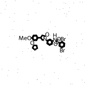 COc1ccc(C2CC(=O)N(c3cccc(NS(=O)(=O)c4cc(Br)ccc4Br)c3)C2)cc1OC1CCCC1